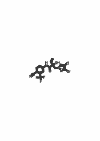 C=CC(O)(Cn1cc(Cl)c(Br)n1)C(=O)Nc1ccc(C#N)c(C(F)(F)F)c1